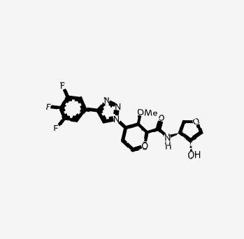 COC1C(C(=O)N[C@H]2COC[C@@H]2O)OCCC1n1cc(-c2cc(F)c(F)c(F)c2)nn1